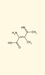 CC(=N)/C(C)=C(\N)C(=O)O